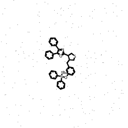 CC(C)(C)[Si](Oc1cccc(CC2CSCC2c2nc(-c3ccccc3)c(-c3ccccc3)o2)c1)(c1ccccc1)c1ccccc1